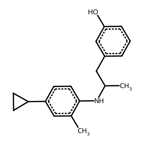 Cc1cc(C2CC2)ccc1NC(C)Cc1cccc(O)c1